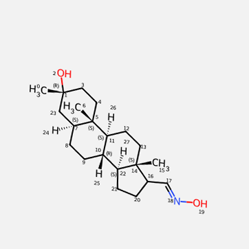 C[C@@]1(O)CC[C@@]2(C)[C@@H](CC[C@@H]3[C@@H]2CC[C@]2(C)C(C=NO)CC[C@@H]32)C1